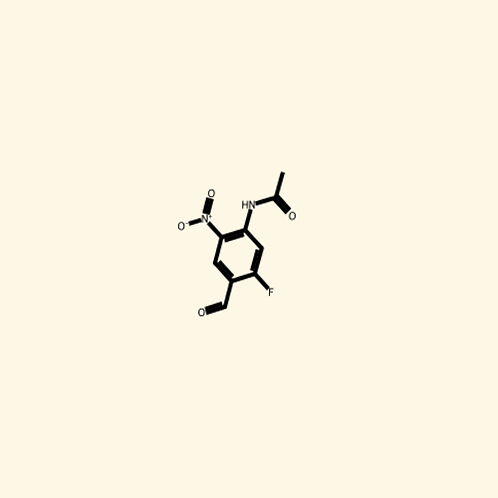 CC(=O)Nc1cc(F)c(C=O)cc1[N+](=O)[O-]